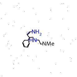 CNCCNCC(/C=C\N)=C1\C=CC=CC1